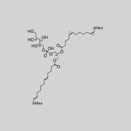 CCCCCCC=CCCCCC=CCCCC(=O)OC[C@H](COP(=O)(O)OC[C@@H](O)[C@@H](O)[C@H](O)CO)OC(=O)CCC/C=C\CCCC/C=C\CCCCCC